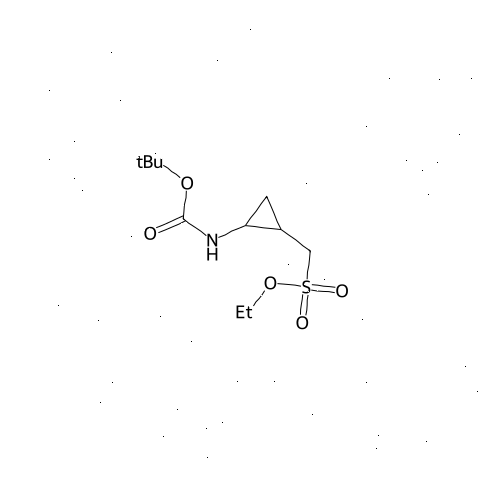 CCOS(=O)(=O)CC1CC1NC(=O)OC(C)(C)C